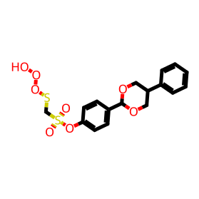 O=S(=O)(CSOOO)Oc1ccc(C2OCC(c3ccccc3)CO2)cc1